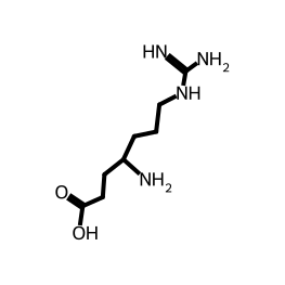 N=C(N)NCCCC(N)CCC(=O)O